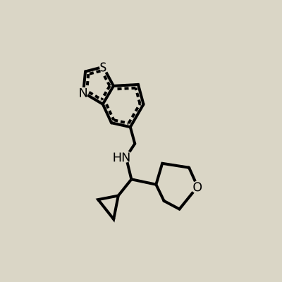 c1nc2cc(CNC(C3CCOCC3)C3CC3)ccc2s1